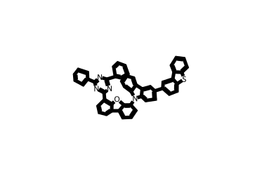 c1ccc(-c2nc(-c3ccccc3)nc(-c3cccc4c3oc3c(-n5c6ccccc6c6cc(-c7ccc8sc9ccccc9c8c7)ccc65)cccc34)n2)cc1